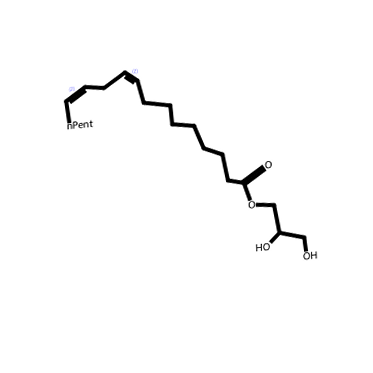 CCCCC/C=C\C/C=C\CCCCCCCC(=O)OCC(O)CO